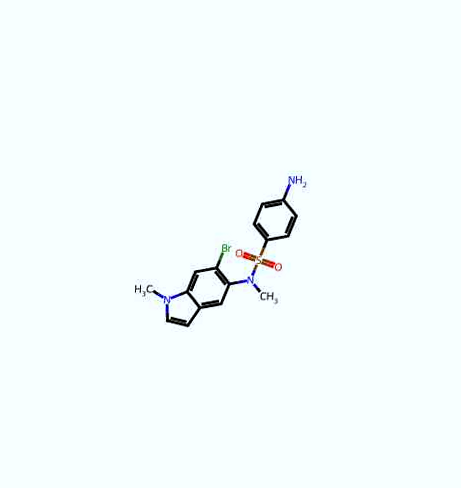 CN(c1cc2ccn(C)c2cc1Br)S(=O)(=O)c1ccc(N)cc1